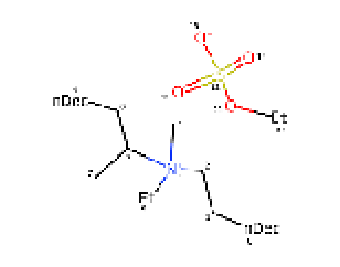 CCCCCCCCCCCC[N+](C)(CC)C(C)CCCCCCCCCCC.CCOS(=O)(=O)[O-]